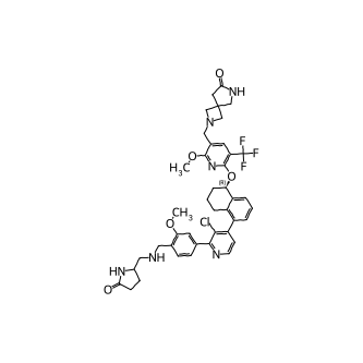 COc1cc(-c2nccc(-c3cccc4c3CCC[C@H]4Oc3nc(OC)c(CN4CC5(CNC(=O)C5)C4)cc3C(F)(F)F)c2Cl)ccc1CNCC1CCC(=O)N1